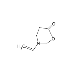 C=CN1CCC(=O)OC1